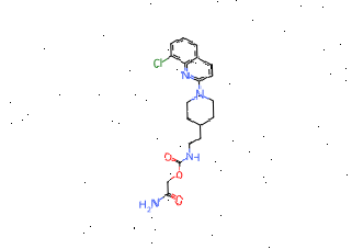 NC(=O)COC(=O)NCCC1CCN(c2ccc3cccc(Cl)c3n2)CC1